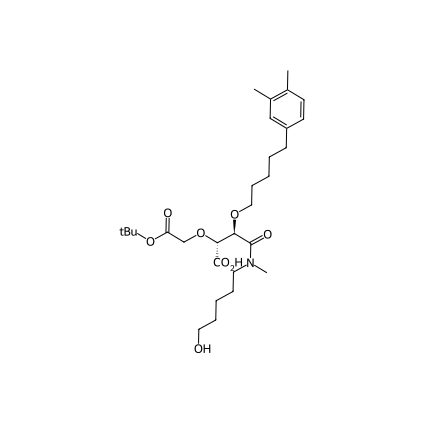 Cc1ccc(CCCCCO[C@@H](C(=O)N(C)CCCCCO)[C@@H](OCC(=O)OC(C)(C)C)C(=O)O)cc1C